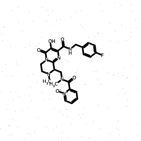 CN(CC1c2nc(C(=O)NCc3ccc(F)cc3)c(O)c(=O)n2CCN1C)C(=O)c1cccc[n+]1[O-]